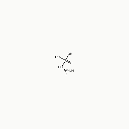 O=P(O)(O)O.[F][Mn].[LiH]